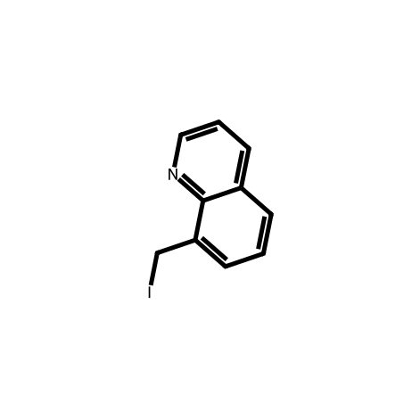 ICc1cccc2cccnc12